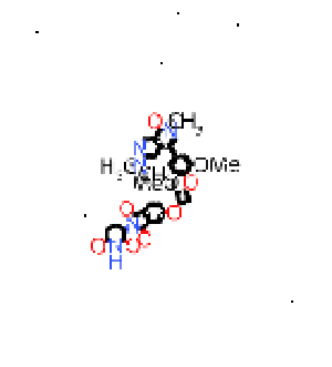 COc1cc(-c2cn(C)c(=O)c3cnc(N(C)C)cc23)cc(OC)c1OC1CC(Oc2ccc3c(c2)C(=O)N(C2CCC(=O)NC2=O)C3=O)C1